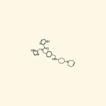 O=C(c1ncc[nH]1)N(Cc1ccc(CNC2CCC(N3CCC=CCC3)CC2)cc1)Cc1ncc[nH]1